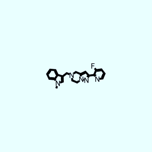 Cn1cc(CN2CCn3nc(-c4ncccc4F)cc3C2)c2ccccc21